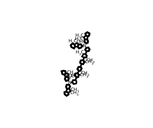 CC1=C(c2ccc(-c3ccc(-c4cc(C)c(C5=CC(N(c6ccc7c(c6)C(C)(C)c6ccccc6-7)c6ccc7c(c6)C(C)(C)c6ccccc6-7)=CCC5)cc4C)c(C)c3)cc2C)CC(C)C(c2cccc(N(c3ccc4c(c3)C(C)(C)c3ccccc3-4)c3ccc4c(c3)C(C)(C)c3ccccc3-4)c2)=C1